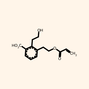 C=CC(=O)OCCc1cccc(C(=O)O)c1CCO